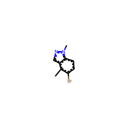 Cc1c(Br)ccc2c1cnn2C